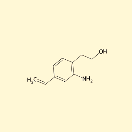 C=Cc1ccc(CCO)c(N)c1